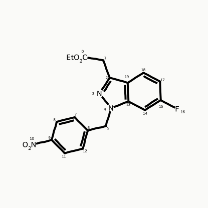 CCOC(=O)Cc1nn(Cc2ccc([N+](=O)[O-])cc2)c2cc(F)ccc12